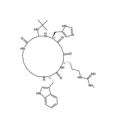 CC(C)(C)NC1CC(=O)NCCCCCN[C@@H](Cc2c[nH]c3ccccc23)C(=O)N[C@@H](CCCNC(=N)N)C(=O)CC(=O)[C@H](Cc2cnc[nH]2)N1